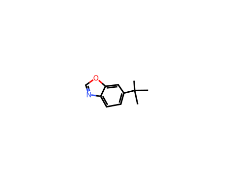 CC(C)(C)c1ccc2ncoc2c1